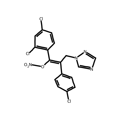 O=[N+]([O-])O/C(=C(/Cn1cncn1)c1ccc(Cl)cc1)c1ccc(Cl)cc1Cl